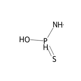 [NH][PH](O)=S